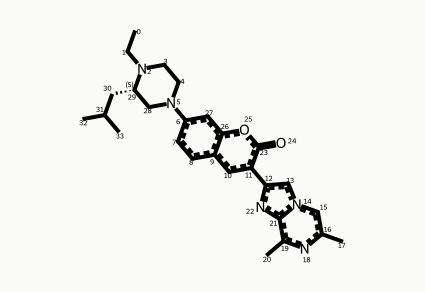 CCN1CCN(c2ccc3cc(-c4cn5cc(C)nc(C)c5n4)c(=O)oc3c2)C[C@@H]1CC(C)C